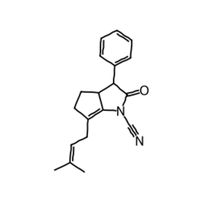 CC(C)=CCC1=C2C(CC1)C(c1ccccc1)C(=O)N2C#N